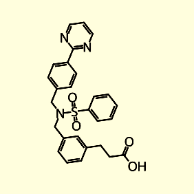 O=C(O)CCc1cccc(CN(Cc2ccc(-c3ncccn3)cc2)S(=O)(=O)c2ccccc2)c1